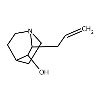 C=CCC1C(O)C2CCN1CC2